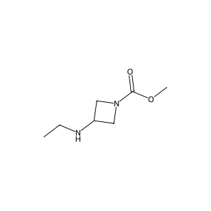 CCNC1CN(C(=O)OC)C1